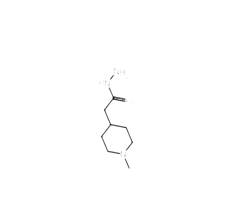 CN1CCC(CC(=O)NN)CC1